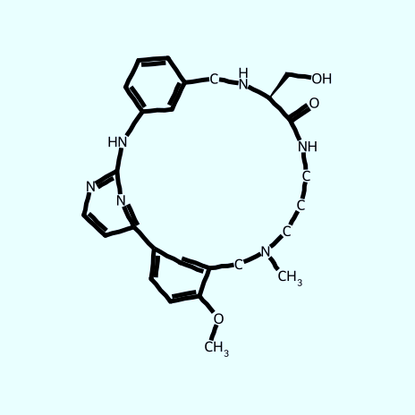 COc1ccc2cc1CN(C)CCCNC(=O)[C@H](CO)NCc1cccc(c1)Nc1nccc-2n1